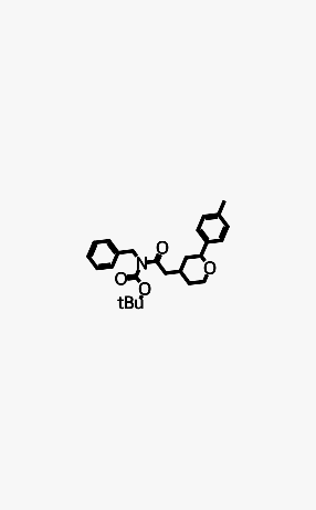 Cc1ccc(C2CC(CC(=O)N(Cc3ccccc3)C(=O)OC(C)(C)C)CCO2)cc1